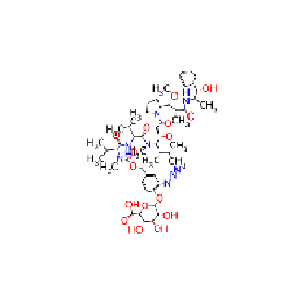 CC[C@H](C)[C@@H]([C@@H](CC(=O)N1CCC[C@H]1[C@H](OC)[C@@H](C)C(=O)N[C@H](C)[C@@H](O)c1ccccc1)OC)N(C)C(=O)[C@@H](NC(=O)[C@H](C(C)C)N(C)C(=O)OCc1ccc(O[C@@H]2O[C@H](C(=O)O)[C@@H](O)[C@H](O)[C@H]2O)c(N=[N+]=[N-])c1)C(C)C